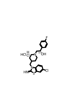 Cl.Cl.N=c1sc2cc(Cl)ccc2n1CC1CCN(C[C@@H](O)c2ccc(F)cc2)CC1